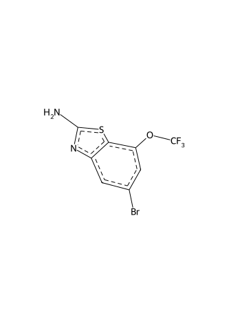 Nc1nc2cc(Br)cc(OC(F)(F)F)c2s1